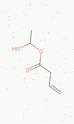 C=CCC(=O)OC(C)O